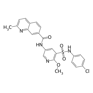 COc1ncc(NC(=O)c2ccc3ccc(C)nc3c2)cc1S(=O)(=O)Nc1ccc(Cl)cc1